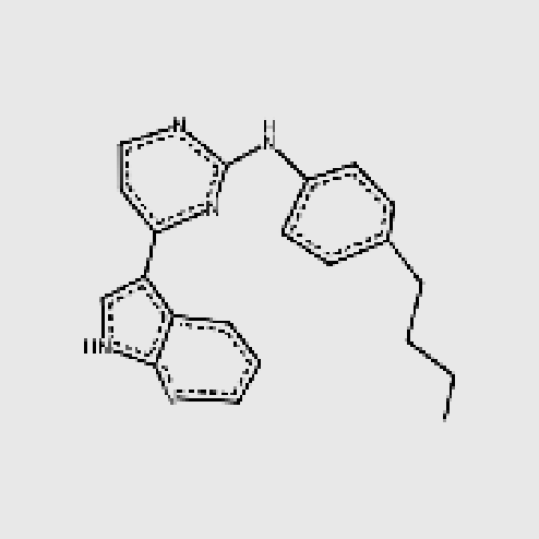 CCCCc1ccc(Nc2nccc(-c3c[nH]c4ncccc34)n2)cc1